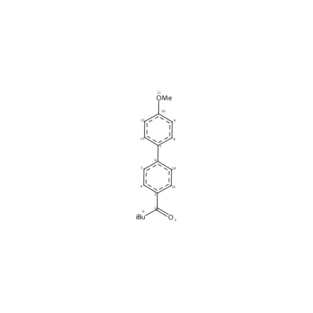 CCC(C)C(=O)c1ccc(-c2ccc(OC)cc2)cc1